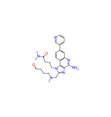 CN(CCCC=O)Cc1nc2c(N)nc3cc(-c4cccnc4)ccc3c2n1CCCC(=O)N(C)C